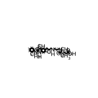 COc1cc(CC(=O)CNCCCN(C)C(=O)N(C)CCC(=O)O)ccc1NC(=O)Nc1ccccc1C